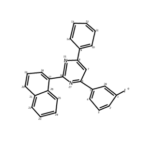 Ic1cccc(-c2cc(-c3ccccc3)nc(-c3cccc4ccccc34)n2)c1